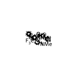 CNC[C@H]1CCCN(c2c(NC(=O)c3csc(-c4ccnnc4)n3)ccc(Oc3ccccc3)c2C(F)(F)F)C1